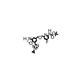 COc1c(N)cc(COCc2cc(F)cc(NC(=O)OC(C)(C)C)n2)cc1-c1ncn(C2CC2)n1